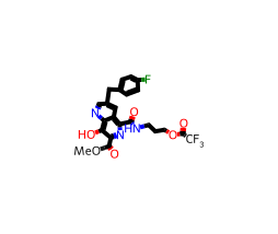 COC(=O)c1nc(C(=O)NCCCOC(=O)C(F)(F)F)c2cc(Cc3ccc(F)cc3)cnc2c1O